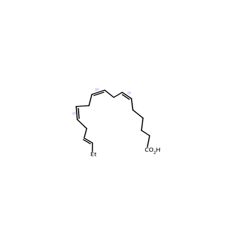 CCC=CC/C=C\C/C=C\C/C=C\CCCCC(=O)O